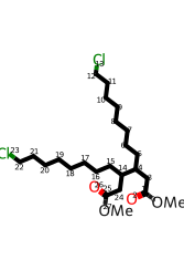 COC(=O)CC(CCCCCCCCCl)C(CCCCCCCCCl)CC(=O)OC